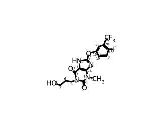 Cn1c(=O)n(CCCO)c(=O)c2[nH]c(Oc3ccc(F)c(C(F)(F)F)c3)nc21